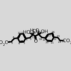 CC(O)(Cc1ccc(CCC(=O)O)cc1)C(=O)C(C)(O)Cc1ccc(CCC(=O)O)cc1